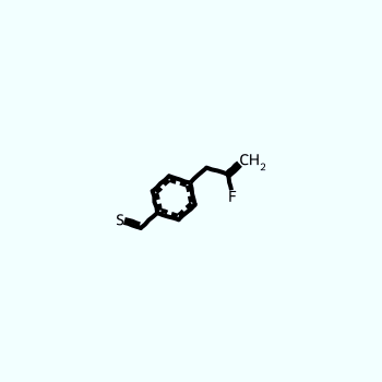 C=C(F)Cc1ccc(C=S)cc1